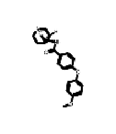 COc1ccc(Oc2ccc(C(=O)N[C@H]3CN4CCC3CC4)cc2)cc1